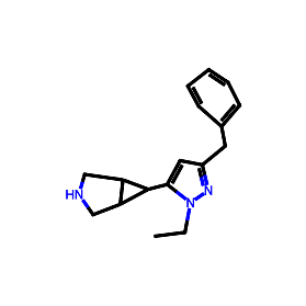 CCn1nc(Cc2ccccc2)cc1C1C2CNCC21